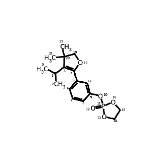 CC(C)C1=C(c2cccc(OP3(=O)OCCO3)c2)OCC1(C)C